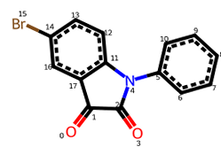 O=C1C(=O)N(c2ccccc2)c2ccc(Br)cc21